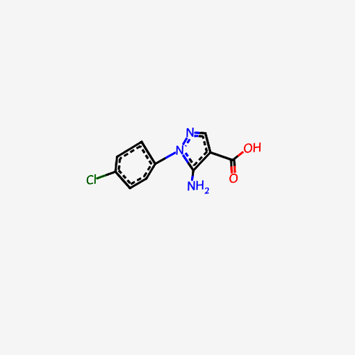 Nc1c(C(=O)O)cnn1-c1ccc(Cl)cc1